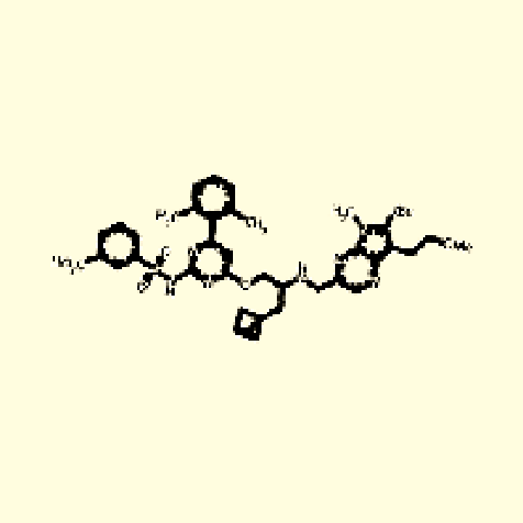 COCCc1c(C(C)(C)C)n(C)c2nc(CNC(COc3cc(-c4c(C)cccc4C)nc(NS(=O)(=O)c4cccc(C(=O)O)c4)n3)CC34CC(C3)C4)cnc12